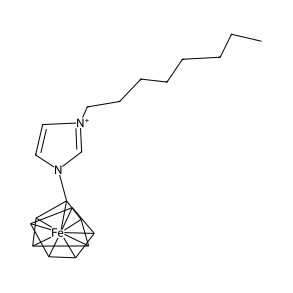 CCCCCCCC[n+]1ccn([C]23[CH]4[CH]5[CH]6[CH]2[Fe]56432789[CH]3[CH]2[CH]7[CH]8[CH]39)c1